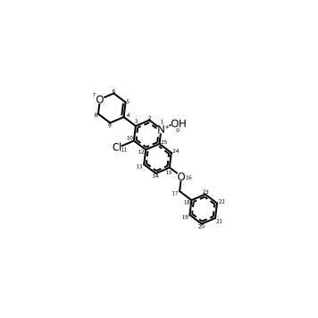 O[n+]1cc(C2=CCOCC2)c(Cl)c2ccc(OCc3ccccc3)cc21